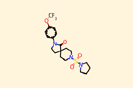 O=C1N(c2ccc(OC(F)(F)F)cc2)CCC12CCN(S(=O)(=O)N1CCCC1)CC2